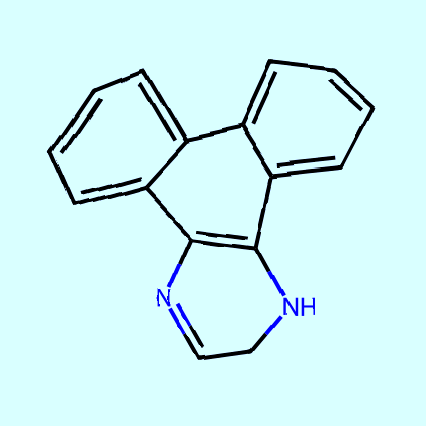 C1=Nc2c(c3ccccc3c3ccccc23)NC1